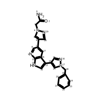 NC(=O)Cn1cc(-c2cnc3[nH]cc(-c4cnn(Cc5ccccc5)c4)c3c2)cn1